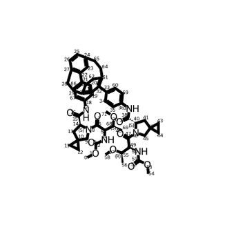 COC(=O)NC(C(=O)N1CC2(CC2)C[C@H]1C(=O)Nc1ccc(-c2cc3ccc2CCC2=CC(c4ccc(NC(=O)[C@@H]5CC6(CC6)CN5C(=O)[C@@H](NC(=O)OC)[C@@H](C)OC)cc4)=C(CC2)CC3)cc1)[C@H](C)OC